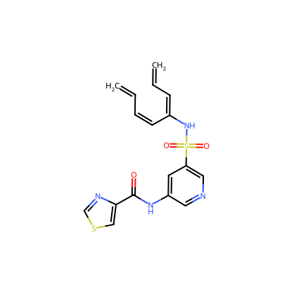 C=C/C=C\C(=C/C=C)NS(=O)(=O)c1cncc(NC(=O)c2cscn2)c1